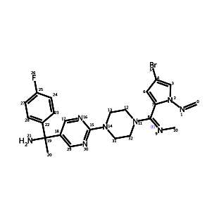 C=Nn1cc(Br)cc1/C(=N\C)N1CCN(c2ncc(C(C)(N)c3ccc(F)cc3)cn2)CC1